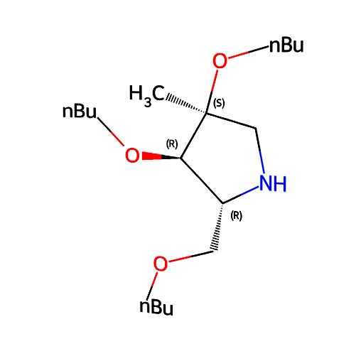 CCCCOC[C@H]1NC[C@](C)(OCCCC)[C@@H]1OCCCC